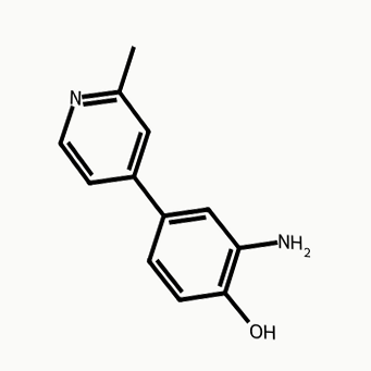 Cc1cc(-c2ccc(O)c(N)c2)ccn1